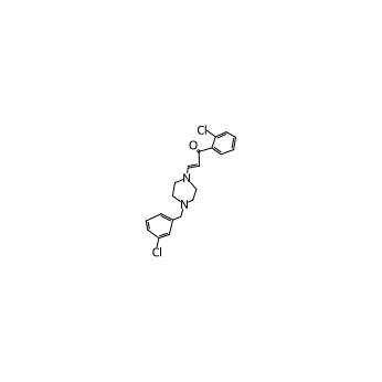 O=C(C=CN1CCN(Cc2cccc(Cl)c2)CC1)c1ccccc1Cl